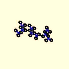 c1ccc(N(c2ccccc2)c2ccc3c(c2)N(c2cccc(-c4ccc5c6cc7c(cc6n(-c6ccccc6)c5c4)N(c4ccccc4)c4cc(-c5ccc6c(c5)B5c8ccccc8N(c8ccccc8)c8cccc(c85)N6c5ccc6c8ccccc8n(-c8ccccc8)c6c5)cc5c4B7c4ccccc4N5c4ccccc4)c2)c2cccc4c2B3c2ccccc2N4c2ccccc2)cc1